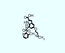 COCCOc1cc(NS(=O)(=O)c2ncccc2C)c2[nH]c(C(=O)O)cc2c1